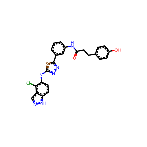 O=C(CCc1ccc(O)cc1)Nc1cccc(-c2nnc(Nc3ccc4[nH]ncc4c3Cl)s2)c1